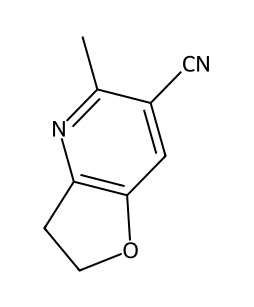 Cc1nc2c(cc1C#N)OCC2